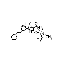 CCN(CC)C1CCN(C(=O)c2c(C)nn(-c3cccc(C=CC4CCCCC4)c3)c2C)C1